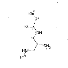 CC(C)NC[C@@H](C)CNC(=O)OC(C)(C)C